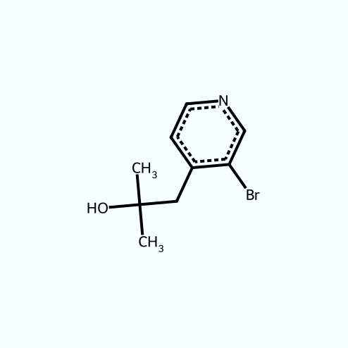 CC(C)(O)Cc1ccncc1Br